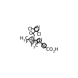 CC(C)(F)CN(CC(=O)c1c(Cl)cncc1Cl)C(=O)c1cnn(C23CCC(C(=O)O)(CC2)CC3)c1C(F)(F)F